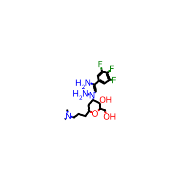 CN(C)CCCC1CC(N(N)/C=C(\N)c2cc(F)c(F)c(F)c2)C(O)C(CO)O1